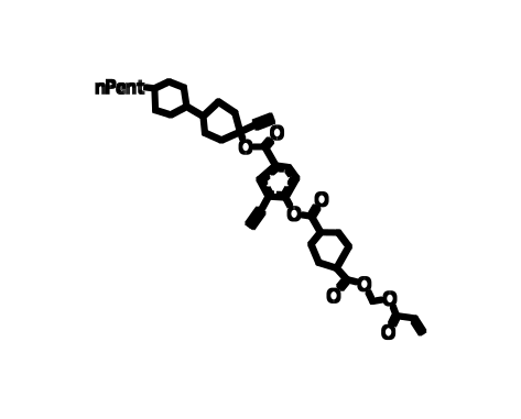 C#Cc1cc(C(=O)OC2(C#C)CCC(C3CCC(CCCCC)CC3)CC2)ccc1OC(=O)C1CCC(C(=O)OCOC(=O)C=C)CC1